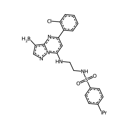 Bc1cnn2c(NCCNS(=O)(=O)c3ccc(C(C)C)cc3)cc(-c3ccccc3Cl)nc12